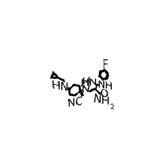 N#CCC1(N/C=C(\C(=N)Nc2ccc(F)cc2)C(N)=O)CCC(NCC2CC2)CC1